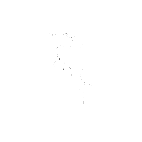 CC(=O)N(C)c1cnn(C(=O)N2CCC3(CCN(Cc4cc(C(F)(F)F)ccc4Cl)C3)C2)c1